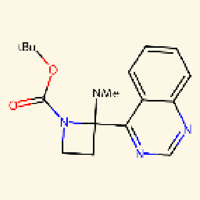 CNC1(c2ncnc3ccccc23)CCN1C(=O)OC(C)(C)C